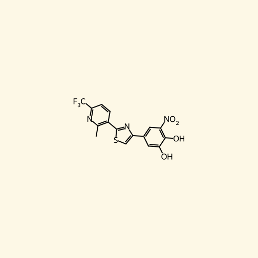 Cc1nc(C(F)(F)F)ccc1-c1nc(-c2cc(O)c(O)c([N+](=O)[O-])c2)cs1